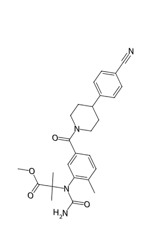 COC(=O)C(C)(C)N(C(N)=O)c1cc(C(=O)N2CCC(c3ccc(C#N)cc3)CC2)ccc1C